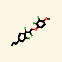 C/C=C/c1ccc(C(F)C(F)COc2ccc(OCC)c(F)c2F)c(F)c1